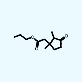 CCCOC(=O)CC1(C)CCC(=O)C1C